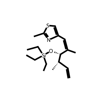 C=C[C@H](C)[C@H](O[Si](CC)(CC)CC)C(C)=Cc1csc(C)n1